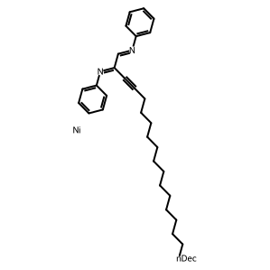 CCCCCCCCCCCCCCCCCCCCCCCC#CC(/C=N/c1ccccc1)=N\c1ccccc1.[Ni]